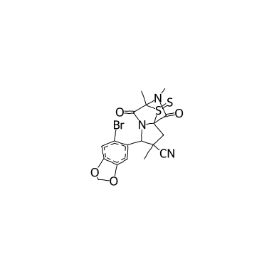 CN1C(=O)C23CC(C)(C#N)C(c4cc5c(cc4Br)OCO5)N2C(=O)C1(C)S3=S